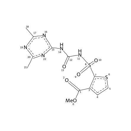 COC(=O)c1ccsc1S(=O)(=O)NC(=O)Nc1nc(C)nc(C)n1